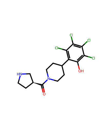 O=C([C@H]1CCNC1)N1CCC(c2c(O)c(Cl)c(Cl)c(Cl)c2Cl)CC1